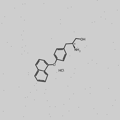 Cl.N[C@H](CO)Cc1ccc(Oc2cccc3ccccc23)cc1